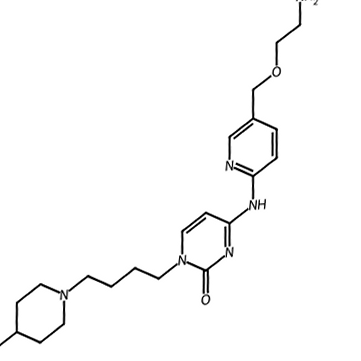 NCCOCc1ccc(Nc2ccn(CCCCN3CCC(N)CC3)c(=O)n2)nc1